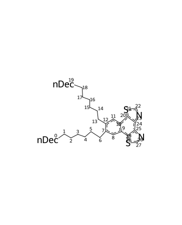 CCCCCCCCCCCCCCCCc1cc2c(cc1CCCCCCCCCCCCCCCC)c1scnc1c1ncsc21